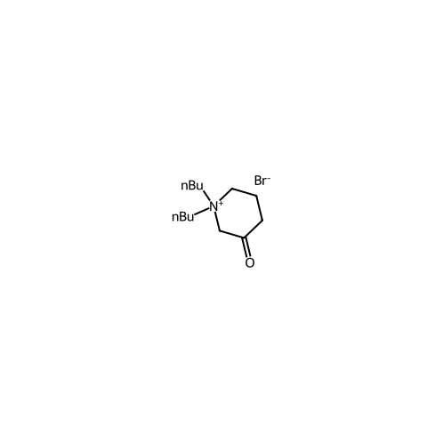 CCCC[N+]1(CCCC)CCCC(=O)C1.[Br-]